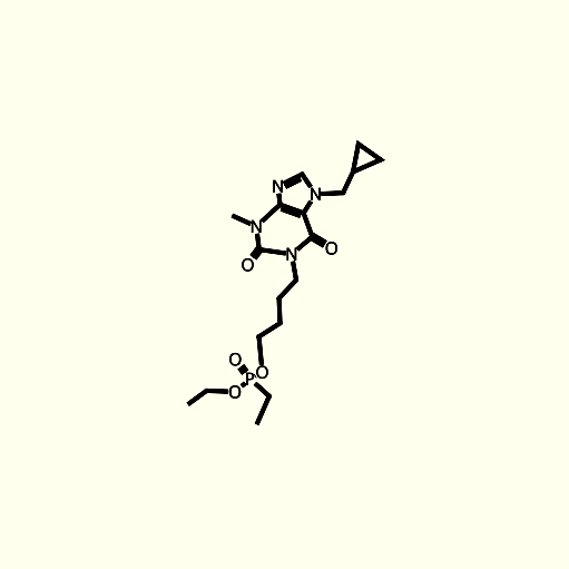 CCOP(=O)(CC)OCCCCn1c(=O)c2c(ncn2CC2CC2)n(C)c1=O